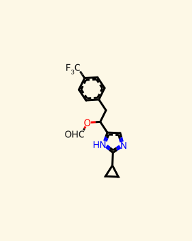 O=COC(Cc1ccc(C(F)(F)F)cc1)c1cnc(C2CC2)[nH]1